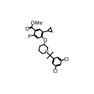 COC(=O)c1cc(C2CC2)c(O[C@@H]2CCCN(C(C)(C)c3cc(Cl)cc(Cl)c3)C2)cc1F